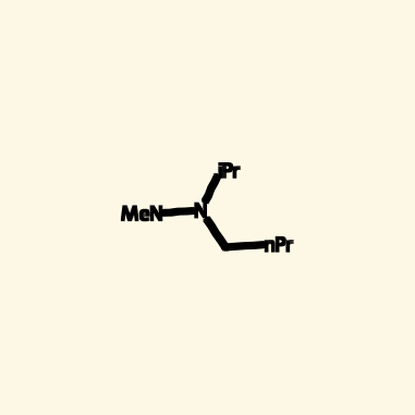 CCCCN(NC)C(C)C